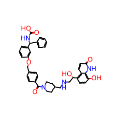 O=C(O)N[C@@H](c1ccccc1)c1cccc(OCc2ccc(C(=O)N3CCC(CNC[C@H](O)c4ccc(O)c5[nH]c(=O)ccc45)CC3)cc2)c1